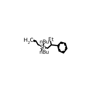 C=C[CH2][Sn]([CH2]CCC)([CH2]CCC)[CH2]C(CC)c1ccccc1